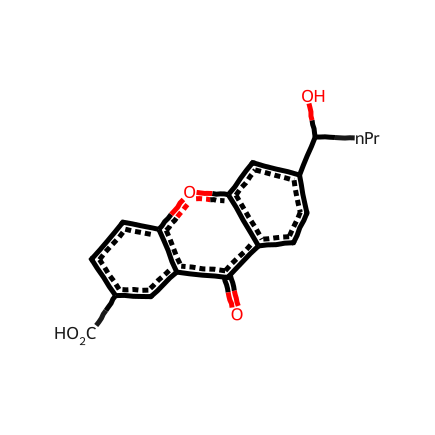 CCCC(O)c1ccc2c(=O)c3cc(C(=O)O)ccc3oc2c1